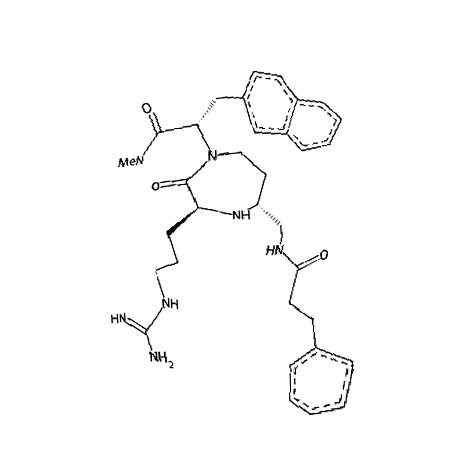 CNC(=O)[C@H](Cc1ccc2ccccc2c1)N1CC[C@H](CNC(=O)CCc2ccccc2)N[C@@H](CCCNC(=N)N)C1=O